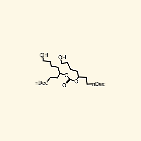 CCCCCCCCCCCCC(CCCCO)OC(=O)OC(CCCCO)CCCCCCCCCCCC